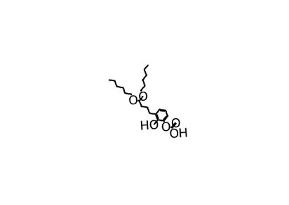 CCCCCCOC(CCCc1cccc(OC(=O)O)c1O)OCCCCCC